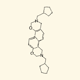 c1cc2c3c(ccc2c2c1CN(CC1CCCC1)CO2)OCN(CC1CCCC1)C3